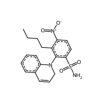 CCCCc1c([N+](=O)[O-])ccc(S(N)(=O)=O)c1N1CC=Cc2ccccc21